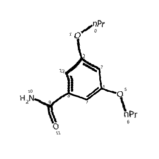 CCCOc1cc(OCCC)cc(C(N)=O)c1